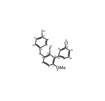 COc1ccc(Cc2ccc(I)cc2)c(F)c1-c1cccc(Cl)c1